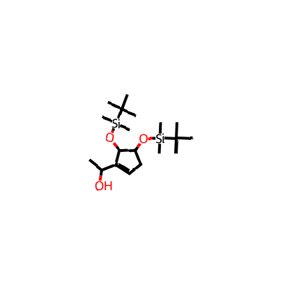 CC(O)C1=CCC(O[Si](C)(C)C(C)(C)C)C1O[Si](C)(C)C(C)(C)C